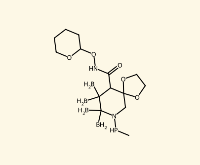 BC1(B)C(C(=O)NOC2CCCCO2)C2(CN(PC)C1(B)B)OCCO2